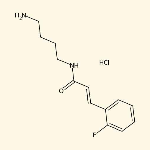 Cl.NCCCCNC(=O)C=Cc1ccccc1F